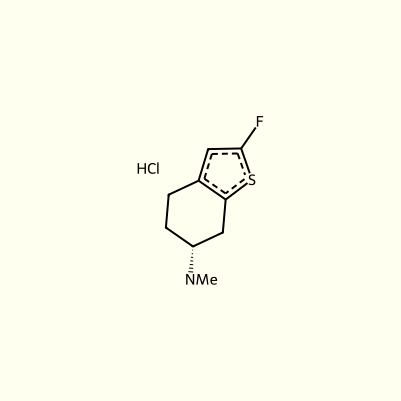 CN[C@@H]1CCc2cc(F)sc2C1.Cl